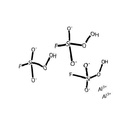 [Al+3].[Al+3].[O-][Si]([O-])(F)OO.[O-][Si]([O-])(F)OO.[O-][Si]([O-])(F)OO